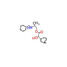 CC(COC(=O)[C@H](O)c1ccccc1)NCc1ccccc1